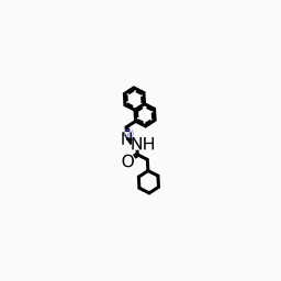 O=C(CC1CCCCC1)N/N=C\c1cccc2ccccc12